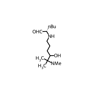 CCCC[C@@H](C=O)NCCCC(O)C(C)(C)NC